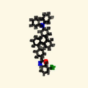 Brc1cccc2nc(-c3ccc(C4=C(c5ccccc5-c5ccc(-n6c7ccccc7c7ccccc76)cc5)C=CCC4)cc3)oc12